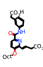 CCCCCCCCOc1ccc(C(=O)Nc2cccc(CC(=O)O)c2)nc1C=CCC(=O)O